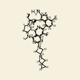 C=CC(=O)N1CC[C@@H](N(C)c2nc(N3CC(N4CC5(CC5)C4)C3)nc3c(F)c(-c4ccc(F)c5sc(N)c(C#N)c45)ncc23)C1